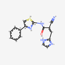 N#C/C(=C/c1ncc[nH]1)C(=O)Nc1nc(-c2ccccc2)cs1